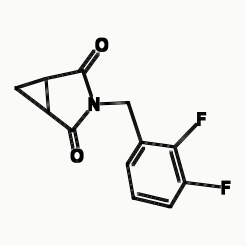 O=C1C2CC2C(=O)N1Cc1cccc(F)c1F